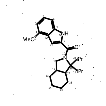 COc1cccc2[nH]c(C(=O)N3CC4CCCCC4C3(C(C)C)C(C)C)cc12